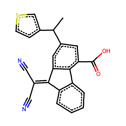 CC(c1ccsc1)c1cc(C(=O)O)c2c(c1)C(=C(C#N)C#N)c1ccccc1-2